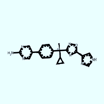 C[C@@](c1ccc(-c2cnc(N)nc2)cc1)(c1noc(-c2c[nH]cn2)n1)C1CC1